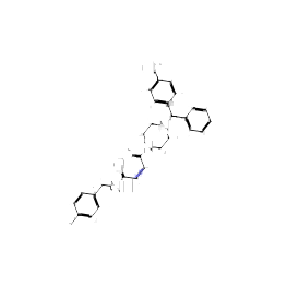 Cc1ccc(CNC(=O)/C=C\C(=O)N2CCN(C(c3ccccc3)c3ccc(Cl)cc3)CC2)cc1